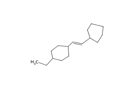 CCC1CCC(C=CC2CCCCC2)CC1